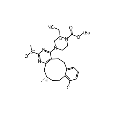 C[C@H]1CCc2c(Cl)cccc2CCc2c(nc([S+](C)[O-])nc2N2CCN(C(=O)OC(C)(C)C)[C@@H](CC#N)C2)C1